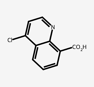 O=C(O)c1cccc2c(Cl)ccnc12